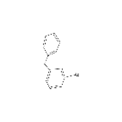 CC(=O)c1cccc(Sc2ccccc2)c1